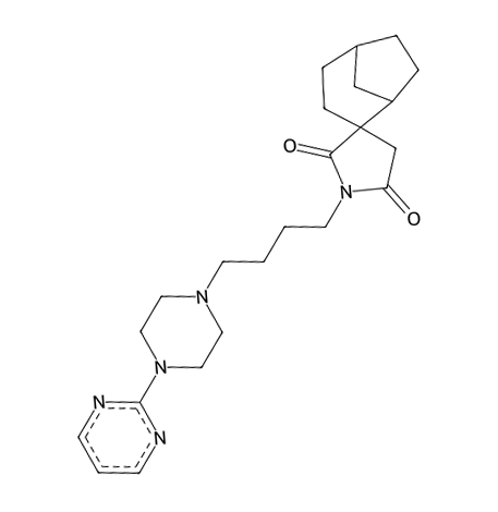 O=C1CC2(CCC3CCC2C3)C(=O)N1CCCCN1CCN(c2ncccn2)CC1